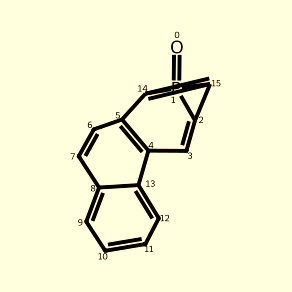 O=P12C3=Cc4c(ccc5ccccc45)C1=C32